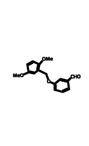 COc1ccc(OC)c(COc2cccc(C=O)c2)c1